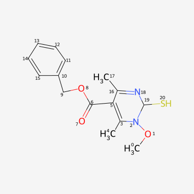 CON1C(C)=C(C(=O)OCc2ccccc2)C(C)=NC1S